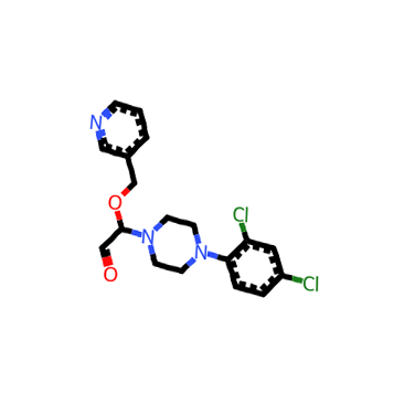 O=CC(OCc1cccnc1)N1CCN(c2ccc(Cl)cc2Cl)CC1